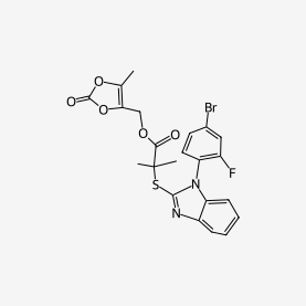 Cc1oc(=O)oc1COC(=O)C(C)(C)Sc1nc2ccccc2n1-c1ccc(Br)cc1F